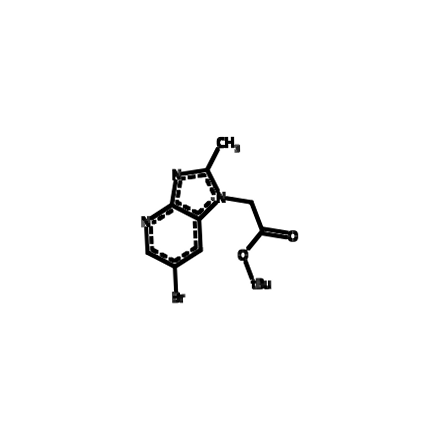 Cc1nc2ncc(Br)cc2n1CC(=O)OC(C)(C)C